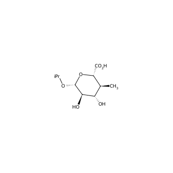 CC(C)O[C@@H]1O[C@H](C(=O)O)[C@@H](C)[C@H](O)[C@H]1O